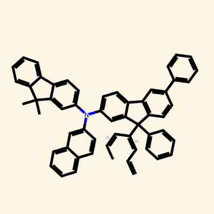 C=C/C=C(\C=C/C)C1(c2ccccc2)c2ccc(-c3ccccc3)cc2-c2ccc(N(c3ccc4c(c3)C(C)(C)c3ccccc3-4)c3ccc4ccccc4c3)cc21